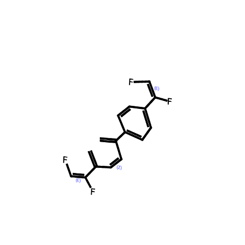 C=C(/C=C\C(=C)c1ccc(/C(F)=C\F)cc1)/C(F)=C\F